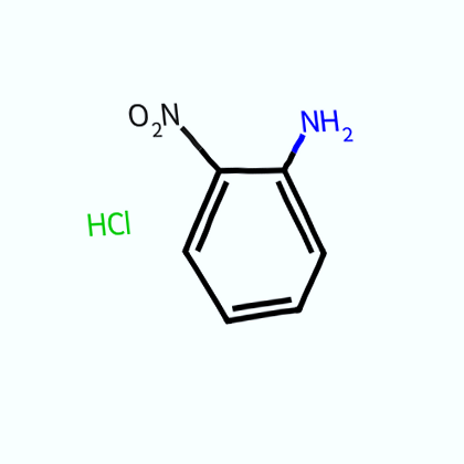 Cl.Nc1ccccc1[N+](=O)[O-]